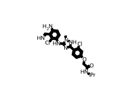 CC(C)NC(=O)COc1ccc(C2N=C(Nc3ccc(N)c(C=N)c3Cl)N(C)N2)c(Cl)c1